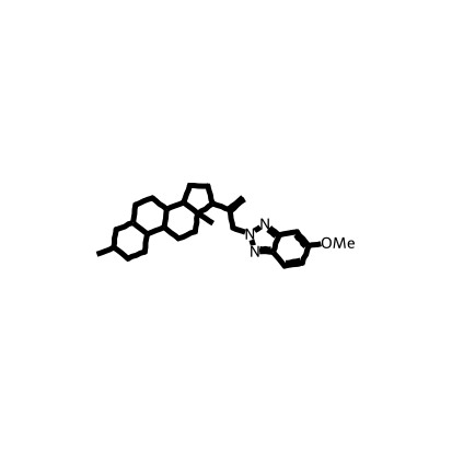 C=C(Cn1nc2ccc(OC)cc2n1)C1CCC2C3CCC4CC(C)CCC4C3CCC12C